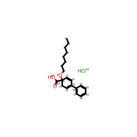 CCCCCCCCOC1(C(=O)O)C=CC(c2ccccc2)=CC1.Cl